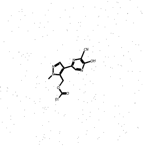 CCC(=O)OCc1c(-c2cnc(O)c(C#N)n2)cnn1C